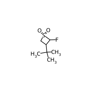 CC(C)(C)C1CS(=O)(=O)C1F